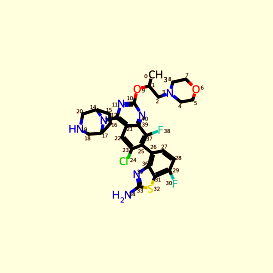 CC(CN1CCOCC1)Oc1nc(N2C3CCC2CNC3)c2cc(Cl)c(-c3ccc(F)c4sc(N)nc34)c(F)c2n1